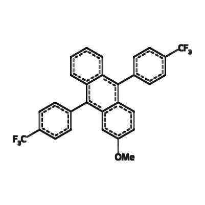 COc1ccc2c(-c3ccc(C(F)(F)F)cc3)c3ccccc3c(-c3ccc(C(F)(F)F)cc3)c2c1